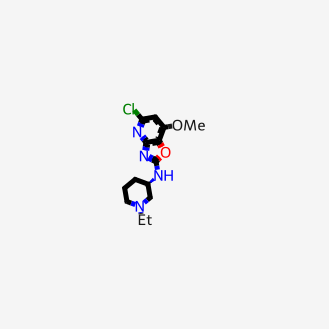 CCN1CCC[C@@H](Nc2nc3nc(Cl)cc(OC)c3o2)C1